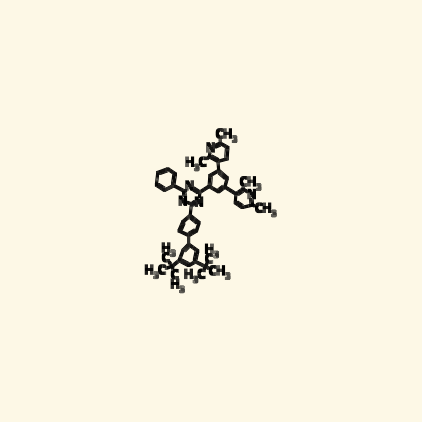 Cc1ccc(-c2cc(-c3nc(-c4ccccc4)nc(-c4ccc(-c5cc(C(C)(C)C)cc(C(C)(C)C)c5)cc4)n3)cc(-c3ccc(C)nc3C)c2)c(C)n1